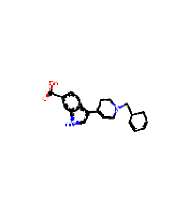 O=C(O)c1ccc2c(C3=CCN(CC4C=CC=CC4)CC3)c[nH]c2c1